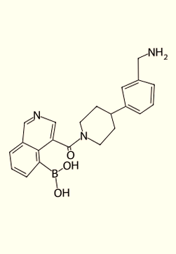 NCc1cccc(C2CCN(C(=O)c3cncc4cccc(B(O)O)c34)CC2)c1